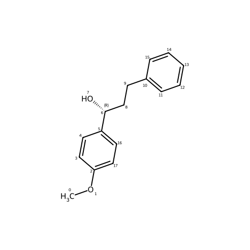 COc1ccc([C@H](O)CCc2ccccc2)cc1